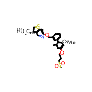 COc1cc(OCCCS(C)(=O)=O)cc(C)c1-c1cccc(COc2cc3c(cn2)[C@H](CC(=O)O)CS3)c1